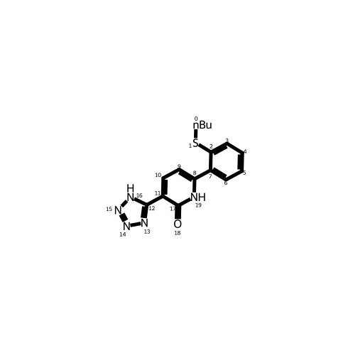 CCCCSc1ccccc1-c1ccc(-c2nnn[nH]2)c(=O)[nH]1